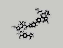 Cc1ncsc1-c1ccc(C(C)NC(=O)[C@@H]2C[C@@H](O)CN2C(=O)C(NC(=O)c2nc3cc(-c4ccc(C5=N[C@@H](CC(=O)O)c6nnc(C)n6-c6sc(C)c(C)c65)cc4)ccc3s2)C(C)(C)C)cc1